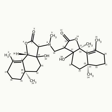 CC1=C2[C@@H]3OC(=O)C(N(C)CC4C(=O)O[C@@]5(C)C6=C(C)CCC[C@@]6(C)CCC45O)C3(O)CC[C@@]2(C)CCC1